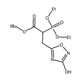 CCOP(=O)(OCC)C(Cc1nc(O)no1)C(=O)OC(C)(C)C